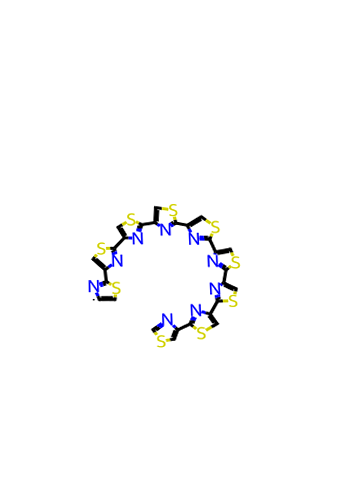 [c]1csc(-c2csc(-c3csc(-c4csc(-c5csc(-c6csc(-c7csc(-c8csc(-c9cscn9)n8)n7)n6)n5)n4)n3)n2)n1